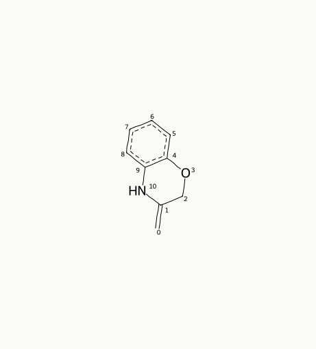 C=C1COc2ccccc2N1